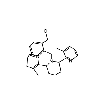 CC1=C(C2CCCC(c3ncccc3C)N2Cc2ccccc2CO)N=CCC1